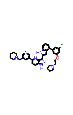 Fc1cc(OCCN2CCCC2)cc(-c2cccc3[nH]c(-c4n[nH]c5ccc(-c6cncc(CN7CCCCC7)c6)nc45)cc23)c1